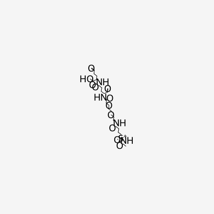 CC(=O)N[S+]([O-])CCCC(=O)NCCOCCOCC(=O)NC(C=O)CCC(=O)NC(CCC=O)C(=O)O